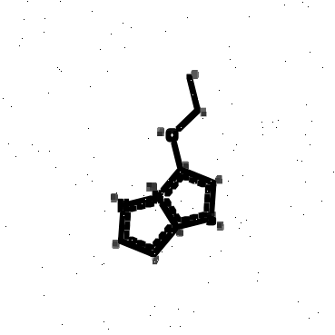 CCOc1csc2ccnn12